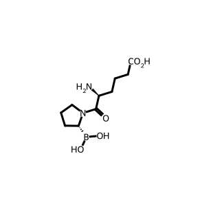 N[C@@H](CCCC(=O)O)C(=O)N1CCC[C@H]1B(O)O